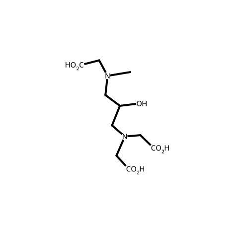 CN(CC(=O)O)CC(O)CN(CC(=O)O)CC(=O)O